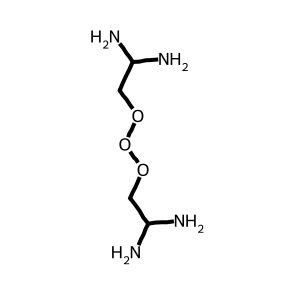 NC(N)COOOCC(N)N